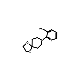 CC(=O)c1cccnc1N1CCC2(CC1)OCCO2